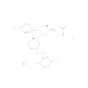 COc1cccc(C(CC2=C3CC(C)C(=O)C3CCC2=O)Oc2ccc(Br)cc2)c1.O=C(O)c1ccc(Br)cc1